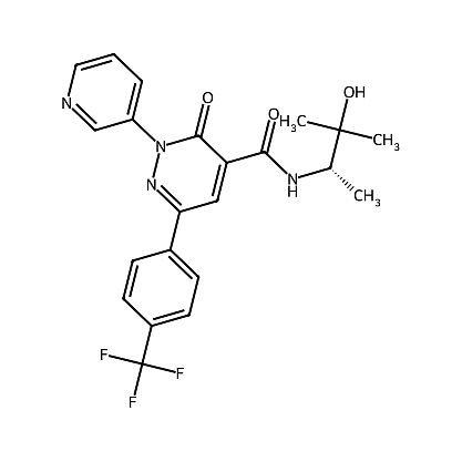 C[C@H](NC(=O)c1cc(-c2ccc(C(F)(F)F)cc2)nn(-c2cccnc2)c1=O)C(C)(C)O